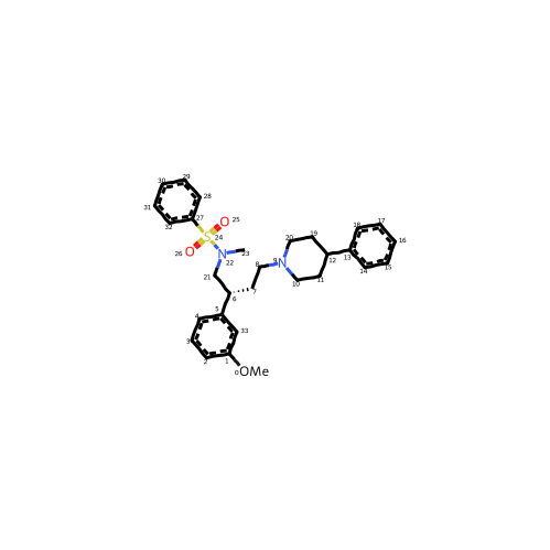 COc1cccc([C@@H](CCN2CCC(c3ccccc3)CC2)CN(C)S(=O)(=O)c2ccccc2)c1